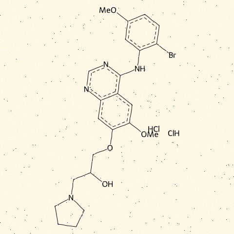 COc1ccc(Br)c(Nc2ncnc3cc(OCC(O)CN4CCCC4)c(OC)cc23)c1.Cl.Cl